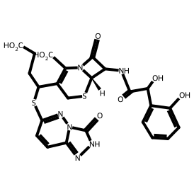 O=C(O)CCC(Sc1ccc2n[nH]c(=O)n2n1)C1=C(C(=O)O)N2C(=O)C(NC(=O)C(O)c3ccccc3O)[C@@H]2SC1